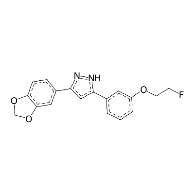 FCCOc1cccc(-c2cc(-c3ccc4c(c3)OCO4)n[nH]2)c1